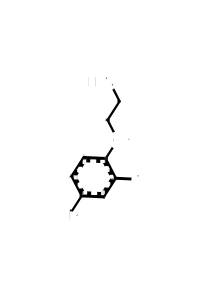 CC(=O)c1cc(Cl)ccc1OCCN